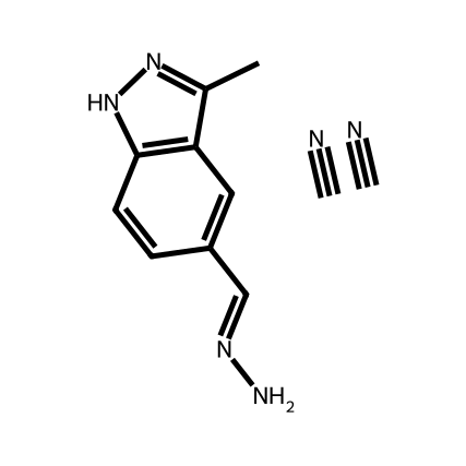 C#N.C#N.Cc1n[nH]c2ccc(C=NN)cc12